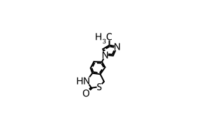 Cc1cn(-c2ccc3c(c2)CSC(=O)N3)cn1